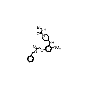 CCNC(=O)N1CCC(Nc2cc(OCC(=O)OCc3ccccc3)ccc2[N+](=O)[O-])CC1